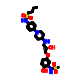 CCCCS(=O)(=O)Nc1ccc(N2CCC(NC[C@H](O)COc3ccc(O)c(NS(C)(=O)=O)c3)CC2)cc1